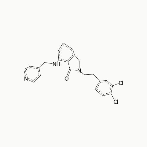 O=C1c2c(cccc2NCc2ccncc2)CN1CCc1ccc(Cl)c(Cl)c1